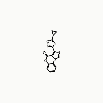 O=c1oc2ccccc2n2cnc(-c3noc(C4CC4)n3)c12